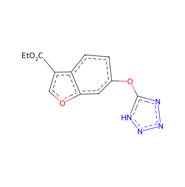 CCOC(=O)c1coc2cc(Oc3nnn[nH]3)ccc12